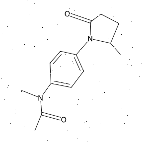 CC(=O)N(C)c1ccc(N2C(=O)CCC2C)cc1